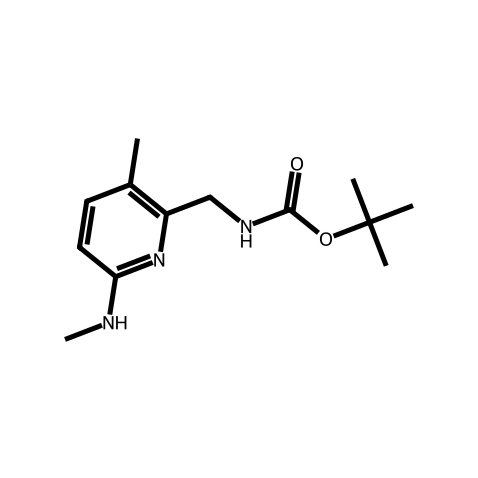 CNc1ccc(C)c(CNC(=O)OC(C)(C)C)n1